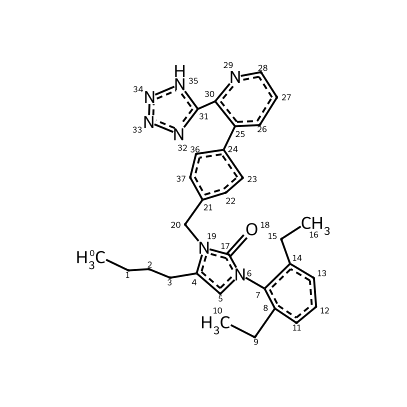 CCCCc1cn(-c2c(CC)cccc2CC)c(=O)n1Cc1ccc(-c2cccnc2-c2nnn[nH]2)cc1